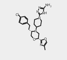 Cc1coc([C@H]2CN(C3CCN(c4nnc(N)[nH]4)CC3)[C@@H](CCc3ccc(Cl)cc3)CO2)n1